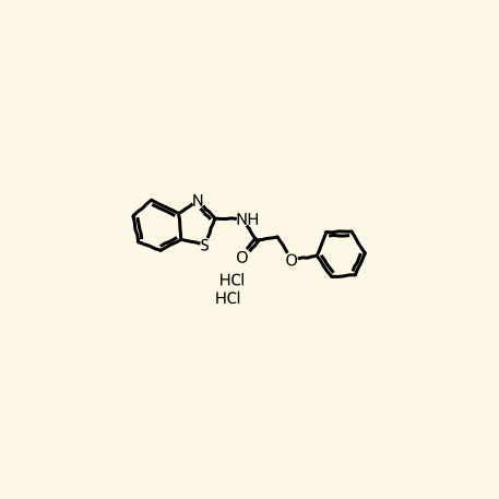 Cl.Cl.O=C(COc1ccccc1)Nc1nc2ccccc2s1